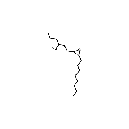 CCCCCCCCC1OC1CCC(O)CCC